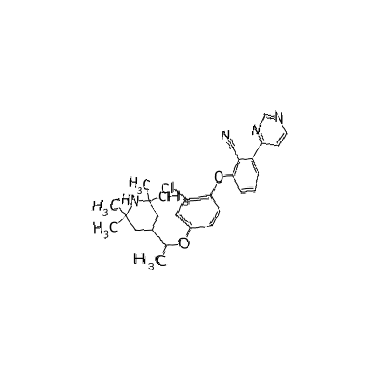 CC(Oc1ccc(Oc2cccc(-c3ccncn3)c2C#N)c(Cl)c1)C1CC(C)(C)NC(C)(C)C1